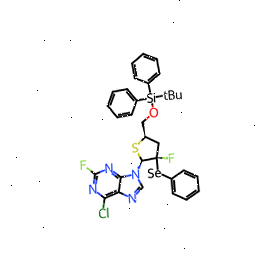 CC(C)(C)[Si](OC[C@H]1C[C@](F)([Se]c2ccccc2)[C@@H](n2cnc3c(Cl)nc(F)nc32)S1)(c1ccccc1)c1ccccc1